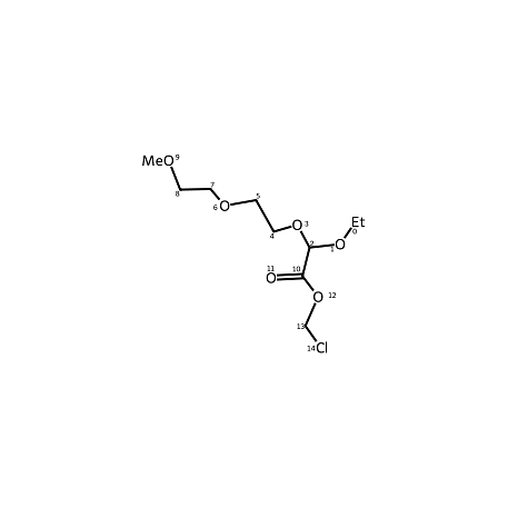 CCOC(OCCOCCOC)C(=O)OCCl